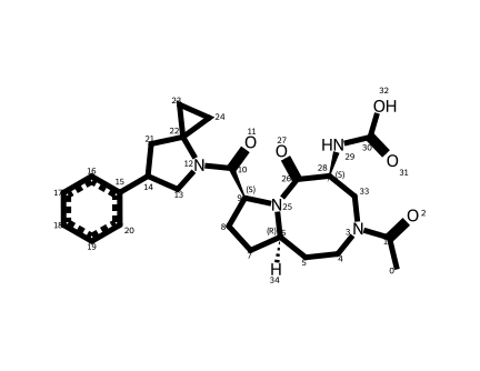 CC(=O)N1CC[C@H]2CC[C@@H](C(=O)N3CC(c4ccccc4)CC34CC4)N2C(=O)[C@@H](NC(=O)O)C1